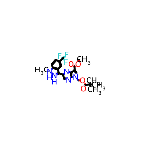 CNc1ccc(C(F)(F)F)cc1C(=N)c1cnc2c(n1)c(C(=O)OC)cn2COC(=O)C(C)(C)C